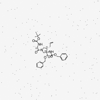 C=CC[C@H]1CN(C(=O)[C@H](C)NC(=O)OC(C)(C)C)C[C@@]1(NC(=O)OCc1ccccc1)C(=O)OCc1ccccc1